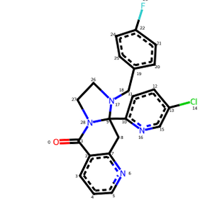 O=C1c2cccnc2CC2(c3ccc(Cl)cn3)N(Cc3ccc(F)cc3)CCN12